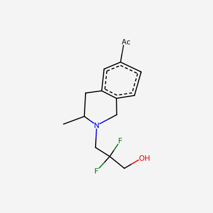 CC(=O)c1ccc2c(c1)CC(C)N(CC(F)(F)CO)C2